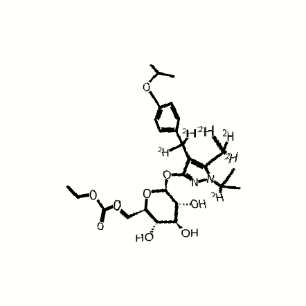 [2H]C([2H])([2H])c1c(C([2H])([2H])c2ccc(OC(C)C)cc2)c(O[C@@H]2O[C@H](COC(=O)OCC)[C@@H](O)[C@H](O)[C@H]2O)nn1C([2H])(C)C